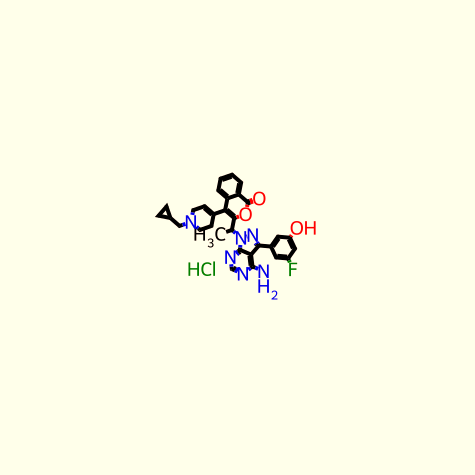 CC(c1oc(=O)c2ccccc2c1C1=CCN(CC2CC2)CC1)n1nc(-c2cc(O)cc(F)c2)c2c(N)ncnc21.Cl